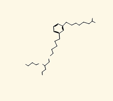 CCCCOC(CCC)COCCCCCc1cccc(CCCCCCC(C)C)c1